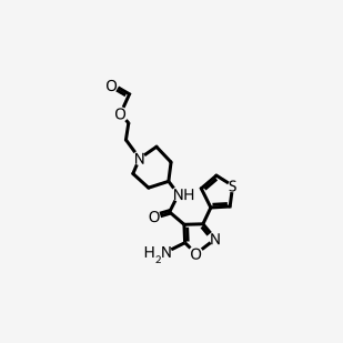 Nc1onc(-c2ccsc2)c1C(=O)NC1CCN(CCOC=O)CC1